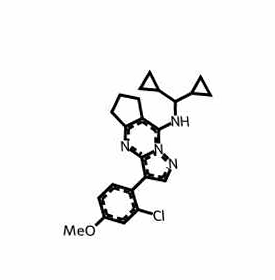 COc1ccc(-c2cnn3c(NC(C4CC4)C4CC4)c4c(nc23)CCC4)c(Cl)c1